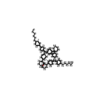 CCCCCCc1ccc(-c2ccc(N(c3ccc(C4CCCCC4)cc3)c3ccc(C4(c5ccc(N(c6ccc(CCCCCC)cc6)c6ccc(C7CCCCC7)cc6)cc5)CCCCC4)cc3)cc2)cc1